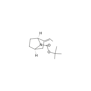 C/C=C1\C[C@H]2CC[C@@H]1N2C(=O)OC(C)(C)C